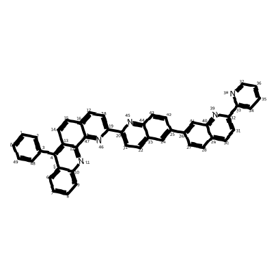 c1ccc(-c2c3ccccc3nc3c2ccc2ccc(-c4ccc5cc(-c6ccc7ccc(-c8ccccn8)nc7c6)ccc5n4)nc23)cc1